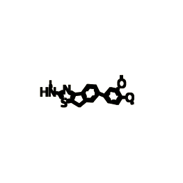 COc1ccc(-c2ccc3c(c2)Cc2sc(NI)nc2-3)cc1OC